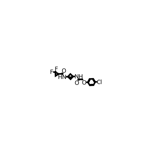 O=C(COc1ccc(Cl)cc1)NC12CC(NC(=O)C3CC3(F)F)(C1)C2